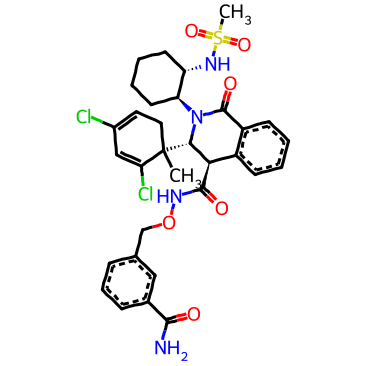 CC1([C@H]2[C@H](C(=O)NOCc3cccc(C(N)=O)c3)c3ccccc3C(=O)N2[C@H]2CCCC[C@@H]2NS(C)(=O)=O)CC=C(Cl)C=C1Cl